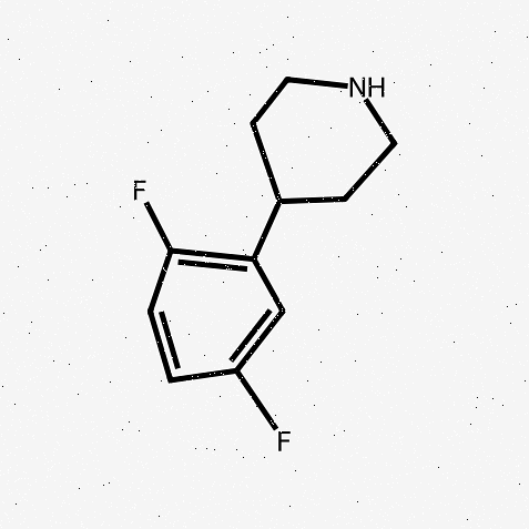 Fc1ccc(F)c(C2CCNCC2)c1